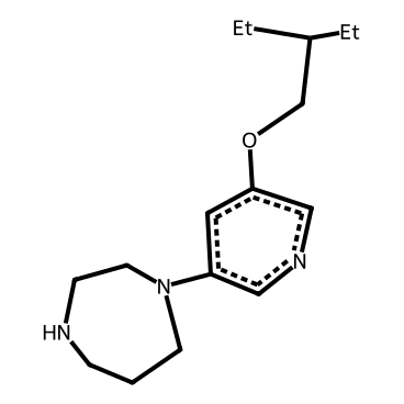 CCC(CC)COc1cncc(N2CCCNCC2)c1